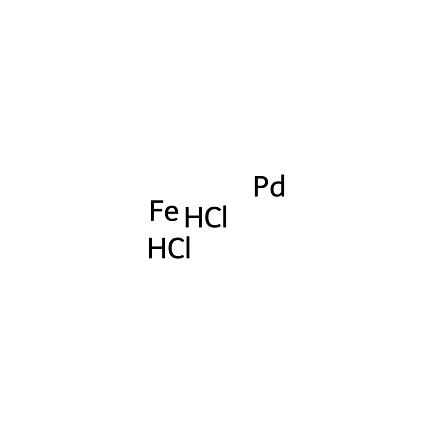 Cl.Cl.[Fe].[Pd]